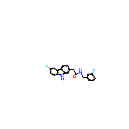 O=C(Cc1ccc2c(c1)[nH]c1ccc(F)cc12)NCc1cccc(F)c1